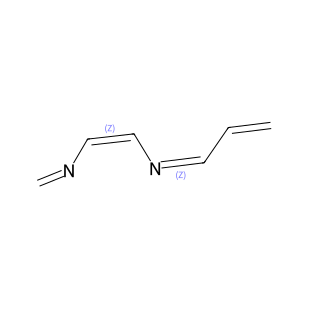 C=C/C=N\C=C/N=C